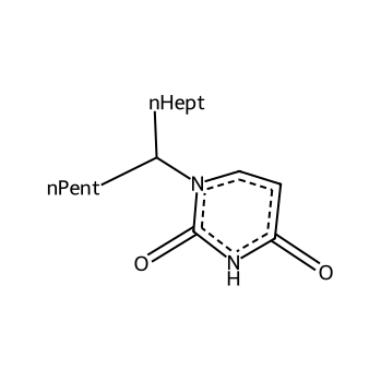 CCCCCCCC(CCCCC)n1ccc(=O)[nH]c1=O